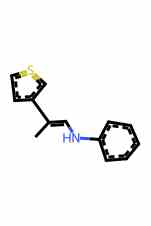 C/C(=C\Nc1ccccc1)c1ccsc1